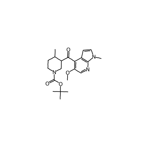 COc1cnc2c(ccn2C)c1C(=O)C1CN(C(=O)OC(C)(C)C)CCC1C